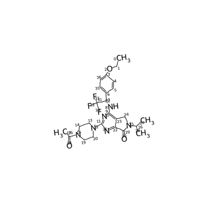 CCOc1ccc([C@H](Nc2nc(N3CCN(C(C)=O)CC3)nc3c2CN(C(C)C)C3=O)C(F)(F)F)cc1